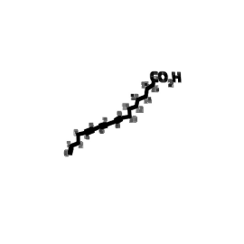 C=CCCC#CC#CC#CCCCCCCCC(=O)O